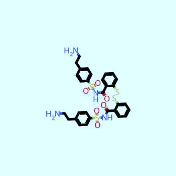 NCCc1ccc(S(=O)(=O)NC(=O)c2ccccc2SSc2ccccc2C(=O)NS(=O)(=O)c2ccc(CCN)cc2)cc1